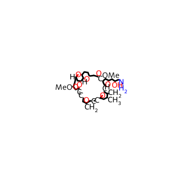 C=C1CC2CCC34C[C@@H](OC)C(O3)[C@H]3CC(O4)[C@H]4OC(CCC4O3)CC(=O)CC3[C@@H](OC)C(CC(O)CN)O[C@H]3CC3OC(CCC1O2)C[C@@H](C)C3=C